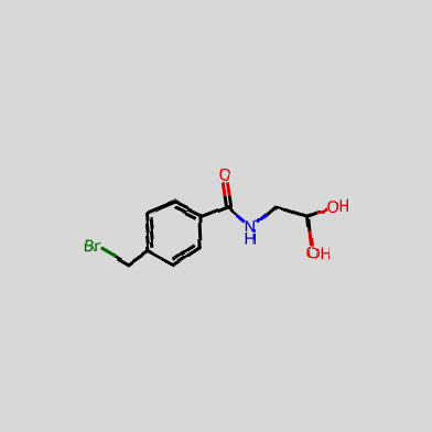 O=C(NCC(O)O)c1ccc(CBr)cc1